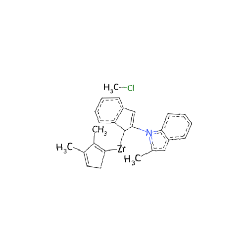 CC1=CC[C]([Zr][CH]2C(n3c(C)cc4ccccc43)=Cc3ccccc32)=C1C.CCl